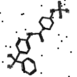 CC(C)S(=O)(=O)NC1CCN(C(=O)Nc2ccc(C(C)(O)c3ccccc3)cc2)CC1